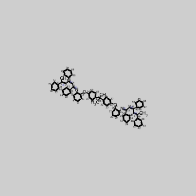 C\C(=C/C(=C\C(=N\c1ccccc1Oc1ccc(C(C)(C)c2ccc(Oc3ccccc3/N=C(/C=C(\C=C(/C)c3ccccc3)c3ccccc3)c3ccccc3)cc2)cc1)c1ccccc1)c1ccccc1)c1ccccc1